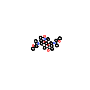 O=C1c2cccc3cccc(c23)C(=O)C1c1ccccc1-c1cc(-c2ccc(-n3c4ccccc4c4c5oc6ccccc6c5ccc43)cc2)c(-c2ccccc2N2C(=O)c3cccc4cccc(c34)C2=O)cc1-c1ccc(-n2c3ccccc3c3c4oc5ccccc5c4ccc32)cc1